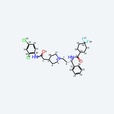 O=C(CC1CCN(CC[C@H](NC(=O)C2CCC(F)(F)CC2)c2ccccc2)CC1)Nc1ccc(Cl)cc1Cl